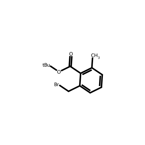 Cc1cccc(CBr)c1C(=O)OC(C)(C)C